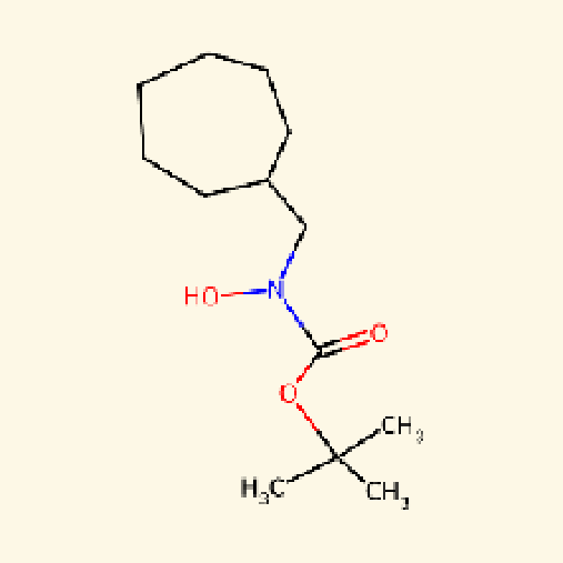 CC(C)(C)OC(=O)N(O)CC1CCCCCC1